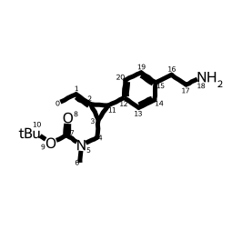 C/C=C1\C(CN(C)C(=O)OC(C)(C)C)C1c1ccc(CCN)cc1